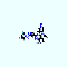 CC1(C)CNCC[C@H]1Nc1nc(-c2ccnc(Nc3nc(F)ccc3F)c2)nc2cncc(C3CC3)c12